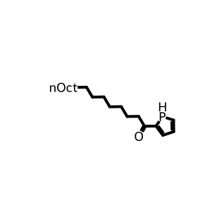 CCCCCCCCCCCCCCCC(=O)c1ccc[pH]1